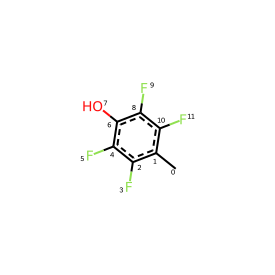 Cc1c(F)c(F)c(O)c(F)c1F